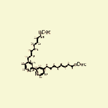 CCCCCCCCCCCCCCCCCCc1ccnc(-c2cc(CCCCCCCCCCCCCCCCCC)ccn2)c1